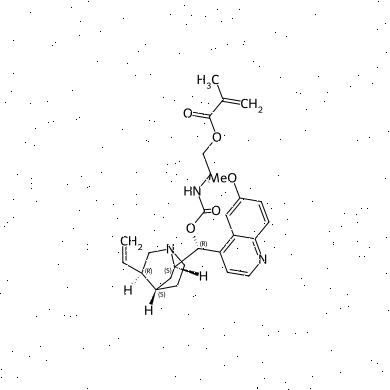 C=C[C@H]1CN2CC[C@H]1C[C@H]2[C@H](OC(=O)NCCOC(=O)C(=C)C)c1ccnc2ccc(OC)cc12